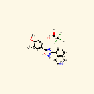 CC(C)Oc1ccc(-c2nc(-c3cccc4c3CCNC4)no2)cc1C#N.O=C(O)C(F)(F)F